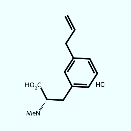 C=CCc1cccc(C[C@H](NC)C(=O)O)c1.Cl